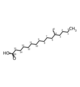 CCCCC(I)CCCCCCCCCCC(=O)O